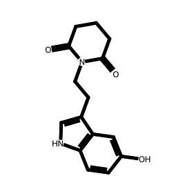 O=C1CCCC(=O)N1CCc1c[nH]c2ccc(O)cc12